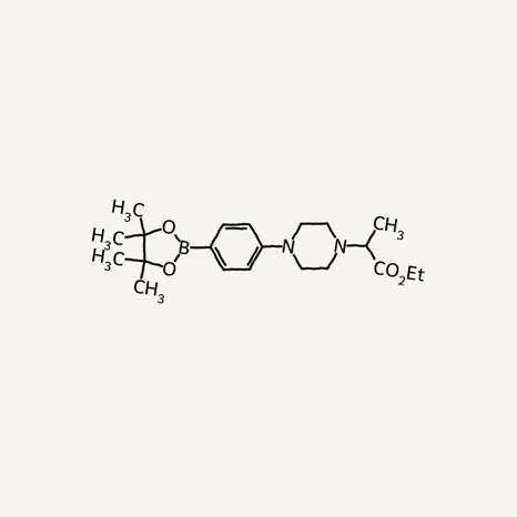 CCOC(=O)C(C)N1CCN(c2ccc(B3OC(C)(C)C(C)(C)O3)cc2)CC1